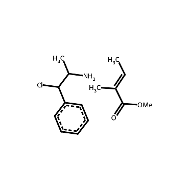 CC(N)C(Cl)c1ccccc1.CC=C(C)C(=O)OC